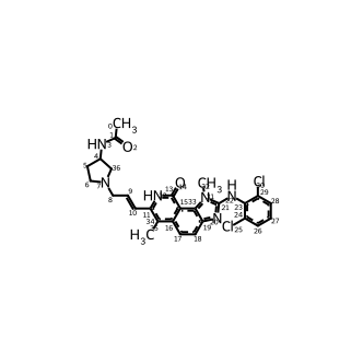 CC(=O)NC1CCN(CC=Cc2[nH]c(=O)c3c(ccc4nc(Nc5c(Cl)cccc5Cl)n(C)c43)c2C)C1